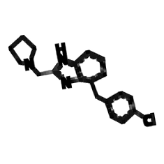 Clc1ccc(Cc2cccc3[nH]c(CN4CCCC4)nc23)cc1